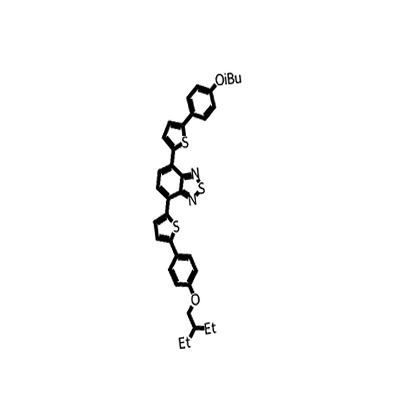 CCC(CC)COc1ccc(-c2ccc(-c3ccc(-c4ccc(-c5ccc(OCC(C)C)cc5)s4)c4nsnc34)s2)cc1